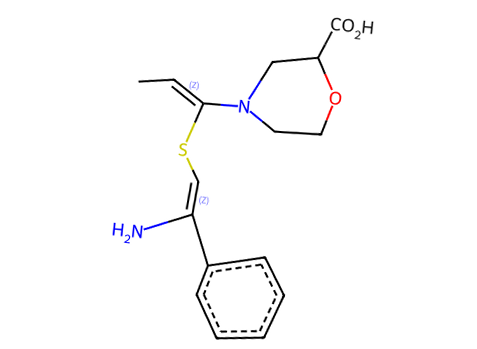 C/C=C(\S/C=C(\N)c1ccccc1)N1CCOC(C(=O)O)C1